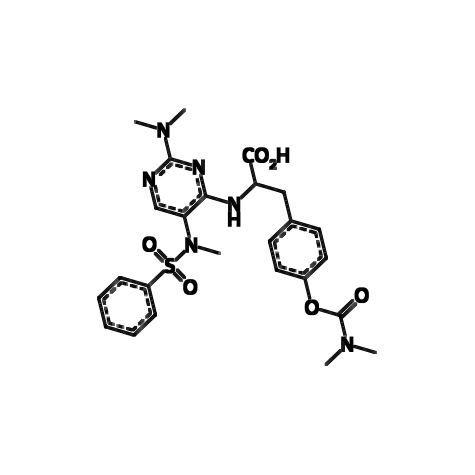 CN(C)C(=O)Oc1ccc(CC(Nc2nc(N(C)C)ncc2N(C)S(=O)(=O)c2ccccc2)C(=O)O)cc1